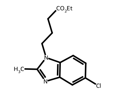 CCOC(=O)CCCn1c(C)nc2cc(Cl)ccc21